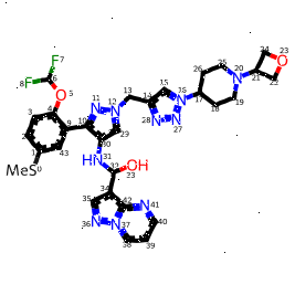 CSc1ccc(OC(F)F)c(-c2nn(Cc3cn(C4CCN(C5COC5)CC4)nn3)cc2NC(O)c2cnn3cccnc23)c1